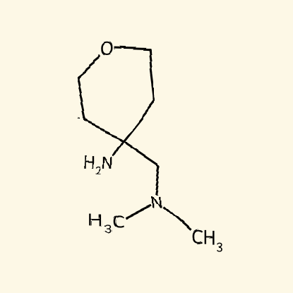 CN(C)CC1(N)[CH]COCC1